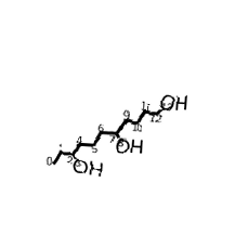 CCC(O)CCCC(O)CCCCO